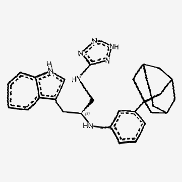 c1cc(N[C@H](CNc2nn[nH]n2)Cc2c[nH]c3ccccc23)cc(C23CC4CC(CC(C4)C2)C3)c1